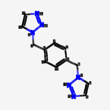 c1cn(Cc2ccc(Cn3ccnn3)cc2)nn1